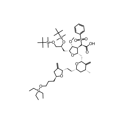 C=C1C[C@H](CCCO[Si](CC)(CC)CC)O[C@H]1CC[C@H]1C[C@@H](C)C(=C)[C@@H](C[C@@H]2O[C@H](C[C@@H](CO[Si](C)(C)C(C)(C)C)O[Si](C)(C)C(C)(C)C)[C@H](OC)[C@H]2[C@H](C(=O)O)S(=O)(=O)c2ccccc2)O1